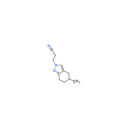 CC1CCc2nn(CCC#N)cc2C1